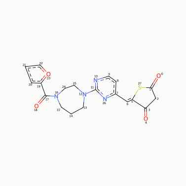 O=C1CC(=O)/C(=C/c2ccnc(N3CCCN(C(=O)c4ccco4)CC3)n2)S1